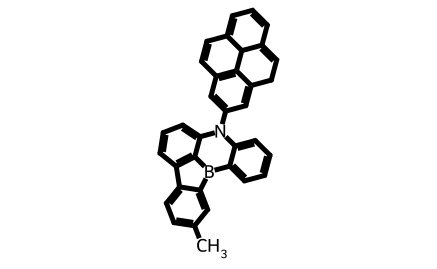 Cc1ccc2c(c1)B1c3ccccc3N(c3cc4c5c(c3)CC=C3C=CC=C(C=C4)C35)c3cccc-2c31